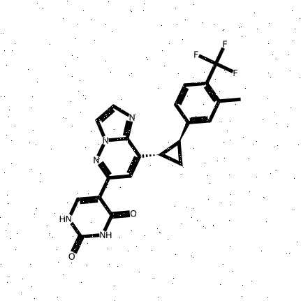 Cc1cc([C@H]2C[C@@H]2c2cc(-c3c[nH]c(=O)[nH]c3=O)nn3ccnc23)ccc1C(F)(F)F